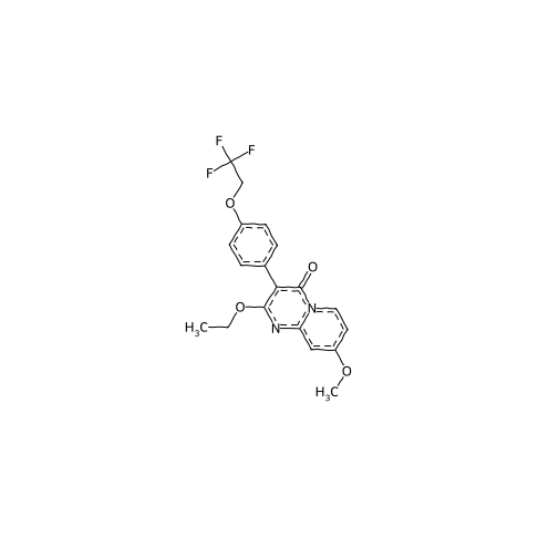 CCOc1nc2cc(OC)ccn2c(=O)c1-c1ccc(OCC(F)(F)F)cc1